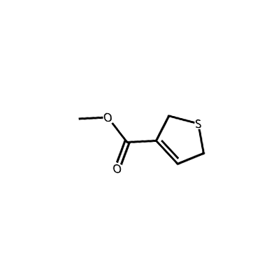 COC(=O)C1=CCSC1